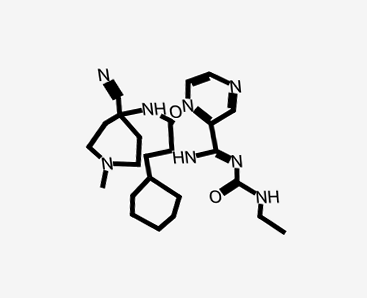 CCNC(=O)/N=C(\NC(CC1CCCCC1)C(=O)NC1(C#N)CCN(C)CC1)c1cnccn1